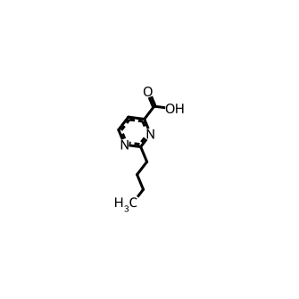 CCCCc1nccc(C(=O)O)n1